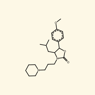 COc1ccc(C2OC(=O)N(CCCN3CCCCC3)C2CC(C)C)cc1